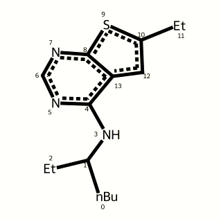 CCCCC(CC)Nc1ncnc2sc(CC)cc12